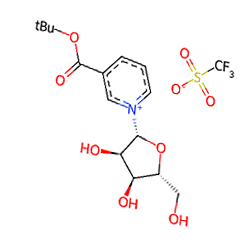 CC(C)(C)OC(=O)c1ccc[n+]([C@@H]2O[C@H](CO)[C@@H](O)[C@H]2O)c1.O=S(=O)([O-])C(F)(F)F